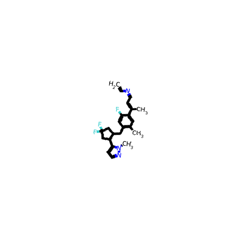 C=C/N=C\C=C(/C)c1cc(C)c(CC2CC(F)(F)CC2c2ccnn2C)cc1F